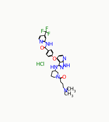 CN(C)CCCC(=O)N1CCC[C@@H](Nc2n[nH]c3nccc(Oc4ccc(C(=O)Nc5cc(C(F)(F)F)ccn5)cc4)c23)C1.Cl